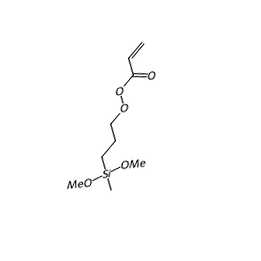 C=CC(=O)OOCCC[Si](C)(OC)OC